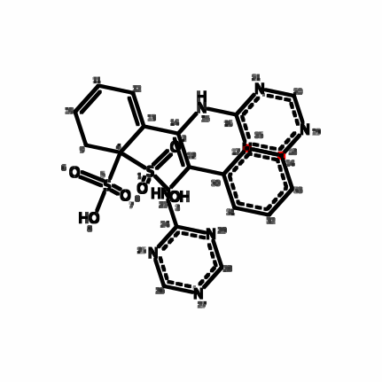 O=S(=O)(O)C1(S(=O)(=O)O)CC=CC=C1C(Nc1ncncn1)=C(Nc1ncncn1)c1ccccc1